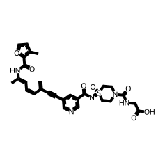 C=C(C#Cc1cncc(C(=O)N=S2(=O)CCN(C(=O)NCC(=O)O)CC2)c1)/C=C\C=C(/C)NC(=O)c1occc1C